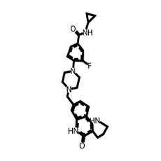 O=C(NC1CC1)c1ccc(N2CCN(Cc3ccc4c5c(c(=O)[nH]c4c3)CCCN5)CC2)c(F)c1